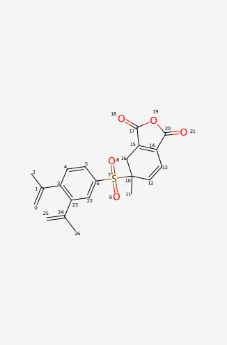 C=C(C)c1ccc(S(=O)(=O)C2(C)C=CC3=C(C2)C(=O)OC3=O)cc1C(=C)C